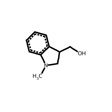 CN1CC(CO)c2ccccc21